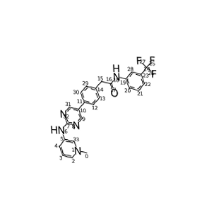 CN1C=C=CC(Nc2ncc(-c3ccc(CC(=O)Nc4cccc(C(F)(F)F)c4)cc3)cn2)=C1